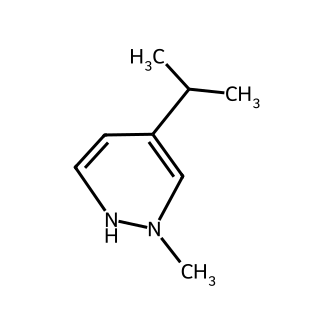 CC(C)C1=CN(C)NC=C1